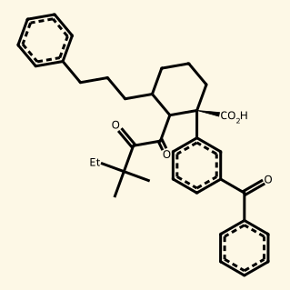 CCC(C)(C)C(=O)C(=O)C1C(CCCc2ccccc2)CCC[C@]1(C(=O)O)c1cccc(C(=O)c2ccccc2)c1